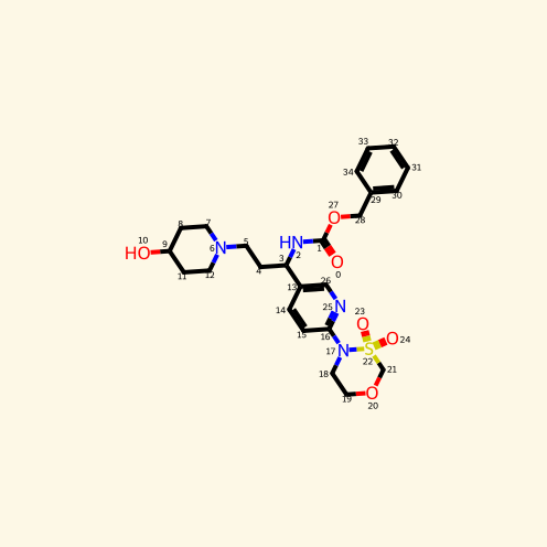 O=C(NC(CCN1CCC(O)CC1)c1ccc(N2CCOCS2(=O)=O)nc1)OCc1ccccc1